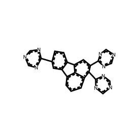 c1cc2c3c(cc(-c4ncncn4)c(-c4ncncn4)c3c1)-c1ccc(-c3ncncn3)cc1-2